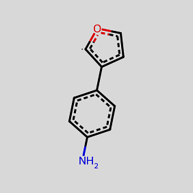 Nc1ccc(-c2[c]occ2)cc1